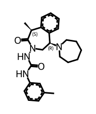 Cc1cccc(NC(=O)NN2C[C@H](N3CCCCCC3)c3ccccc3[C@H](C)C2=O)c1